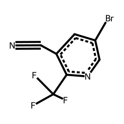 N#Cc1cc(Br)cnc1C(F)(F)F